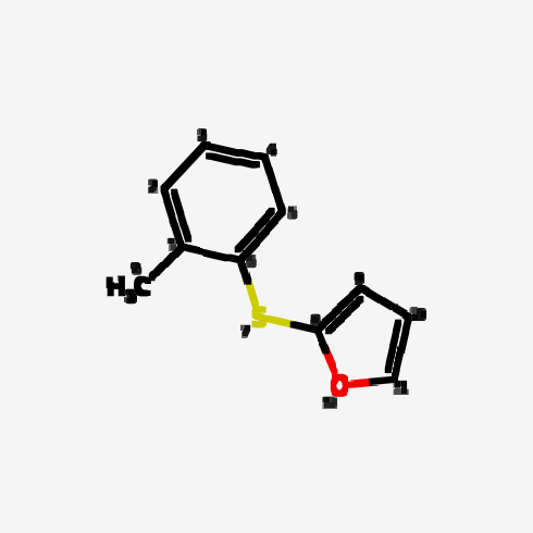 Cc1ccccc1Sc1ccco1